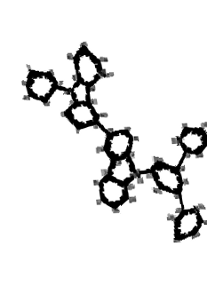 c1ccc(-n2c3ccc(-c4ccc5c(c4)c4ccccc4n5-c4cc(-c5ccccn5)cc(-c5ccccn5)c4)cc3c3ncccc32)cc1